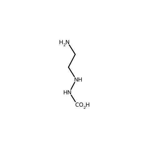 NCCNNC(=O)O